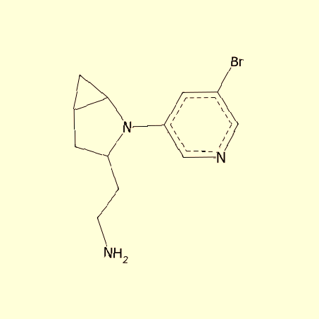 NCCC1CC2CC2N1c1cncc(Br)c1